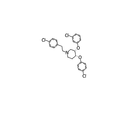 Clc1ccc(CCN2CC[C@@H](Oc3ccc(Cl)cc3)[C@@H](Oc3cccc(Cl)c3)C2)cc1